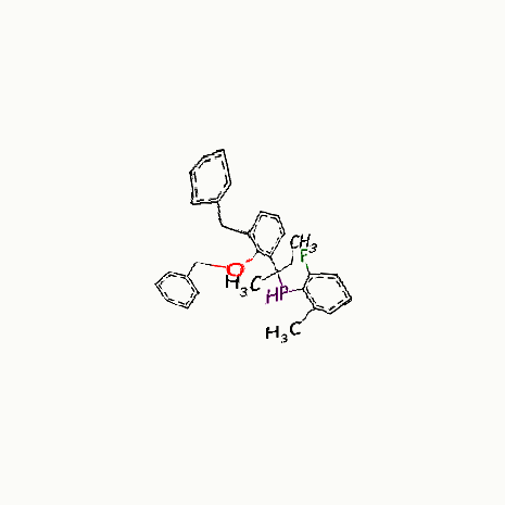 CCC(C)(Pc1c(C)cccc1F)c1cccc(Cc2ccccc2)c1OCc1ccccc1